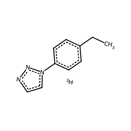 CCc1ccc(-n2ccnn2)cc1.[2H]